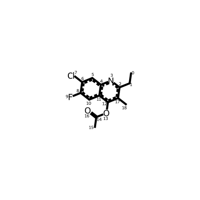 CCc1nc2cc(Cl)c(F)cc2c(OC(C)=O)c1C